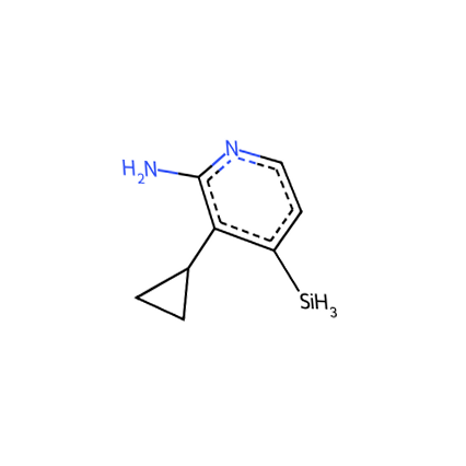 Nc1nccc([SiH3])c1C1CC1